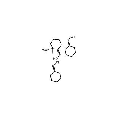 CC1([SiH3])CCCCC1=NO.ON=C1CCCCC1.ON=C1CCCCC1